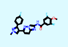 COc1c(F)cc(C(=O)Nc2cn3nc(-c4cn(C)nc4-c4ccc(F)cc4)ccc3n2)cc1F